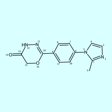 Cc1nccn1-c1ccc(C2=NNC(=O)CO2)cc1